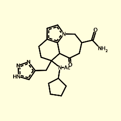 CC(=O)N(C1CCCC1)C1(Cc2c[nH]nn2)CCc2ccn3c2C1C(=O)CC(C(N)=O)C3